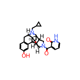 O=C(c1ccc[nH]c1=O)N1C[C@H]2C[C@@]34CC[C@@H]1[C@@H]2[C@@]31CCN(CC2CC2)[C@@H]4Cc2ccc(O)cc21